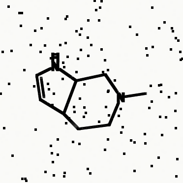 CN1CCC2C=CNC2C1